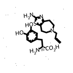 C=CCN1CCc2nc(N)sc2CC1.N[C@@H](Cc1ccc(O)c(O)c1)C(=O)O